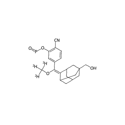 [2H]C([2H])([2H])OC(=C1C2CC3CC1CC(CO)(C3)C2)c1ccc(C#N)c(OP=O)c1